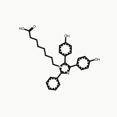 O=C(O)CCCCCCCn1c(-c2ccccc2)nc(-c2ccc(O)cc2)c1-c1ccc(O)cc1